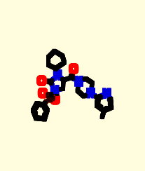 Cc1ccnc(N2CCN(C(=O)C3CN(S(=O)(=O)c4ccccc4)C(=O)N3C3CCCCC3)CC2)c1